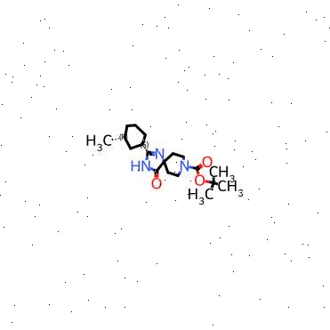 C[C@@H]1CCC[C@H](C2=NC3(CCN(C(=O)OC(C)(C)C)CC3)C(=O)N2)C1